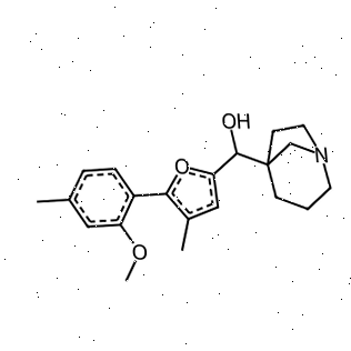 COc1cc(C)ccc1-c1oc(C(O)C23CCCN(CC2)C3)cc1C